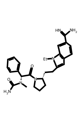 CCn1c(CC[C@@H]2CCCN2C(=O)[C@@H](c2ccccc2)N(C)C(N)=O)cc2ccc(C(=N)N)cc21